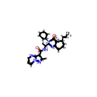 Cc1nn2cccnc2c1C(=O)NC(C)c1nc2cccc(/C=C/C(F)(F)F)c2c(=O)n1-c1ccccc1